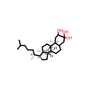 CC(C)CCC[C@@H](C)[C@@H]1CC[C@H]2[C@@H]3CCC4CC(O)(O)C(O)C[C@]4(C)[C@H]3CC[C@@]21C